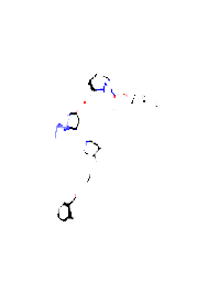 CC(C)(C)OC(=O)N1CCC[C@H]1COc1cncc(N2CCC(CCCOCc3ccccc3)C2)c1